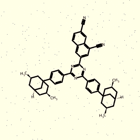 C[C@@H]1C[C@@H]2C[C@H](C)CC(c3ccc(-c4nc(-c5ccc(C67C[C@H](C)C[C@H](C[C@H](C)C6)C7)cc5)nc(-c5cc(C#N)c6cc(C#N)ccc6c5)n4)cc3)(C1)C2